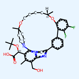 Cc1c([C@H](OC(C)(C)C)C(=O)O)c2n3cc(nc3c1CO)-c1cccc(c1)-c1c(ccc(F)c1F)O[C@@H](C)CCCCOC1(C)CCN2CC1